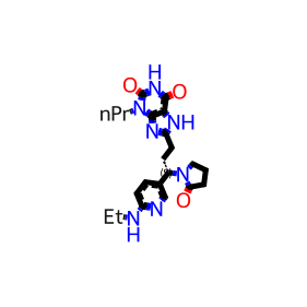 CCCn1c(=O)[nH]c(=O)c2[nH]c(CC[C@@H](c3ccc(NCC)nc3)N3CCCC3=O)nc21